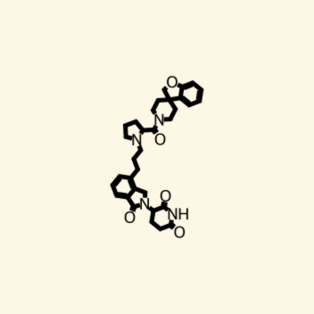 O=C1CCC(N2Cc3c(CCCN4CCCC4C(=O)N4CCC5(CC4)COc4ccccc45)cccc3C2=O)C(=O)N1